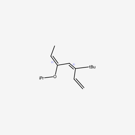 C=C/C(=C\C(=C/C)OC(C)C)C(C)(C)C